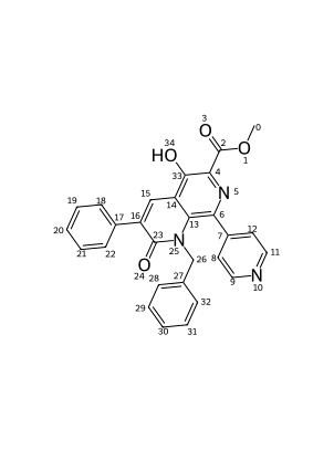 COC(=O)c1nc(-c2ccncc2)c2c(cc(-c3ccccc3)c(=O)n2Cc2ccccc2)c1O